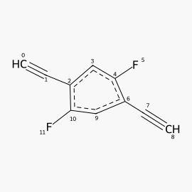 C#Cc1cc(F)c(C#C)cc1F